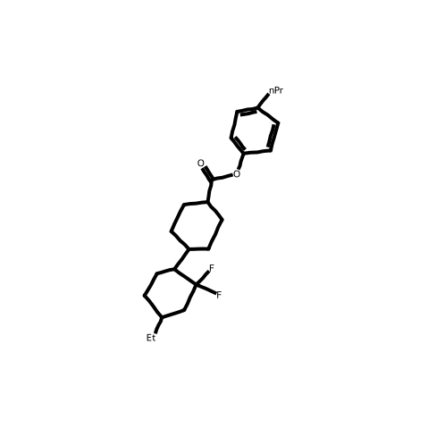 CCCc1ccc(OC(=O)C2CCC(C3CCC(CC)CC3(F)F)CC2)cc1